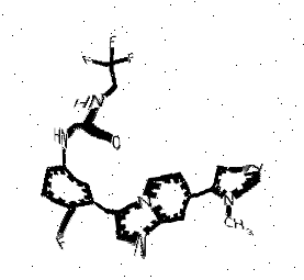 Cn1cncc1-c1ccn2c(-c3cc(NC(=O)NCC(F)(F)F)ccc3F)cnc2c1